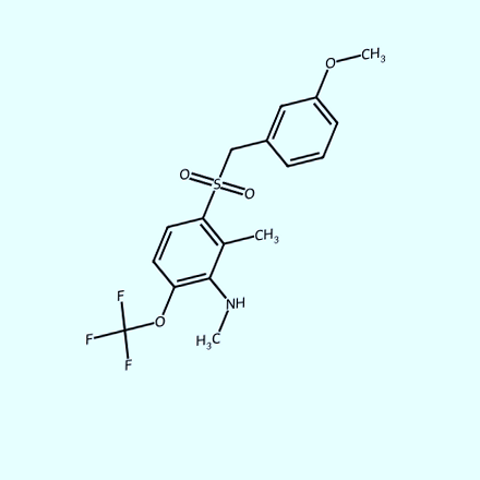 CNc1c(OC(F)(F)F)ccc(S(=O)(=O)Cc2cccc(OC)c2)c1C